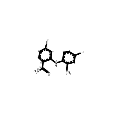 Cc1cc(I)ccc1Nc1cc(F)ccc1C(N)=O